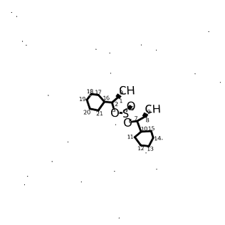 C#CC(OS(=O)OC(C#C)C1CCCCC1)C1CCCCC1